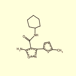 Cc1ccc(-c2noc(N)c2C(=O)NC2CCCCC2)s1